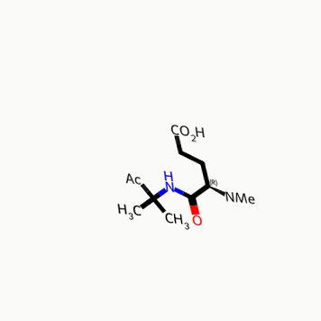 CN[C@H](CCC(=O)O)C(=O)NC(C)(C)C(C)=O